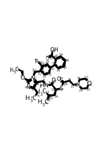 CCOc1nc(CC)c(CNC(=O)C(CC(C)C)SC(=O)CCN2CCOCC2)n1Cc1ccc(-c2ccccc2C(=O)O)cc1F